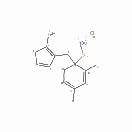 CCCCSC1(CC2=[C]([Ti+2])CC=C2)CC=C(C)C=C1C.[Cl-].[Cl-]